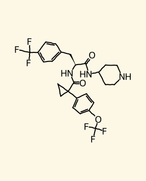 O=C(NC1CCNCC1)[C@H](Cc1ccc(C(F)(F)F)cc1)NC(=O)C1(c2ccc(OC(F)(F)F)cc2)CC1